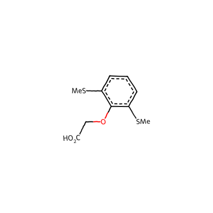 CSc1cccc(SC)c1OCC(=O)O